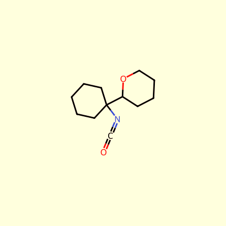 O=C=NC1(C2CCCCO2)CCCCC1